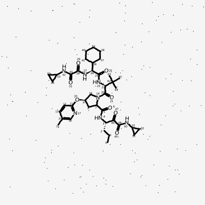 CCC[C@H](NC(=O)C1C[C@@H](Oc2ccc(C)cn2)CN1C(=O)[C@@H](NC(=O)[C@@H](NC(=O)C(=O)NC1CC1)C1CCCCC1)C(C)(C)C)C(=O)C(=O)NC1CC1